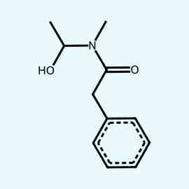 CC(O)N(C)C(=O)Cc1ccccc1